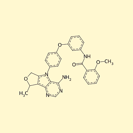 COc1ccccc1C(=O)Nc1cccc(Oc2ccc(-n3c4c(c5ncnc(N)c53)C(C)OC4)cc2)c1